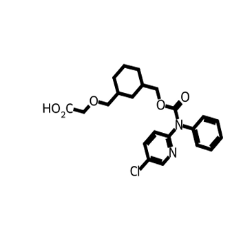 O=C(O)COCC1CCCC(COC(=O)N(c2ccccc2)c2ccc(Cl)cn2)C1